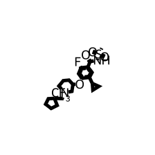 CS(=O)(=O)NC(=O)c1cc(C2CC2)c(OC2CCCN(CC3(C(F)(F)F)CCCC3)C2)cc1F